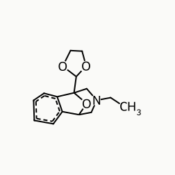 CCN1CC2OC(C3OCCO3)(C1)c1ccccc12